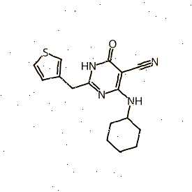 N#Cc1c(NC2CCCCC2)nc(Cc2ccsc2)[nH]c1=O